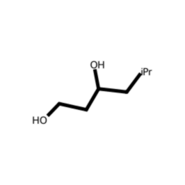 CC(C)CC(O)CCO